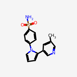 Cc1cncc(-c2cccn2-c2ccc(S(N)(=O)=O)cc2)c1